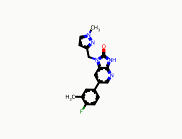 Cc1cc(-c2cnc3[nH]c(=O)n(Cc4ccn(C)n4)c3c2)ccc1F